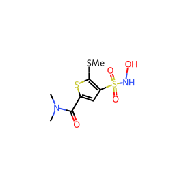 CSc1sc(C(=O)N(C)C)cc1S(=O)(=O)NO